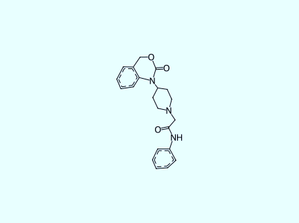 O=C(CN1CCC(N2C(=O)OCc3ccccc32)CC1)Nc1ccccc1